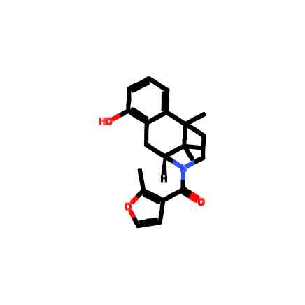 Cc1occc1C(=O)N1CCC2(C)c3cccc(O)c3C[C@@H]1C2(C)C